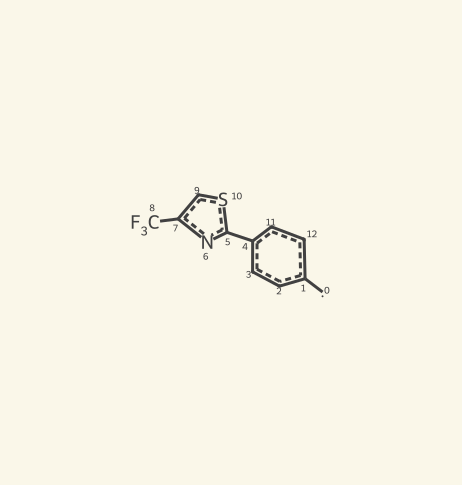 [CH2]c1ccc(-c2nc(C(F)(F)F)cs2)cc1